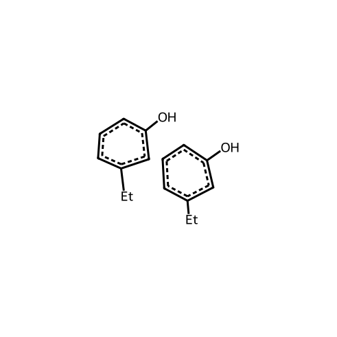 CCc1cccc(O)c1.CCc1cccc(O)c1